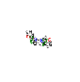 C=Cc1ccc(Oc2ccc(C3(c4c(F)cc(F)cc4F)c4ccccc4-c4ccc(N(c5ccc(-c6ccc(N(c7ccc(F)c(C)c7)c7ccc8c(c7)C(c7ccc(Oc9ccc(C=C)cc9)cc7)(c7c(F)cc(F)cc7F)c7ccccc7-8)cc6)cc5)c5ccc(F)c(C)c5)cc43)cc2)cc1